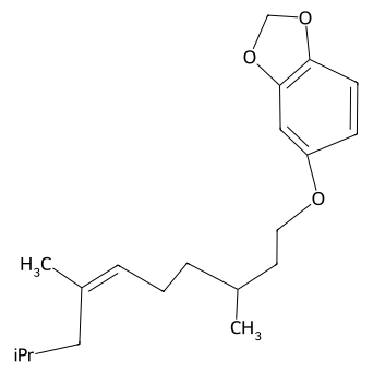 CC(=CCCC(C)CCOc1ccc2c(c1)OCO2)CC(C)C